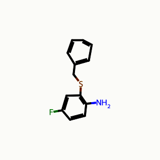 Nc1ccc(F)cc1SCc1ccccc1